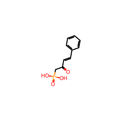 O=C(C=Cc1ccccc1)CP(=O)(O)O